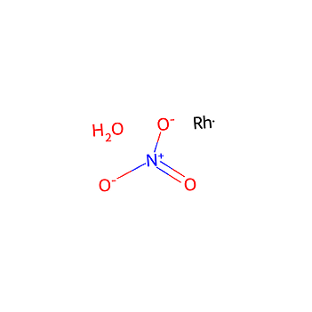 O.O=[N+]([O-])[O-].[Rh]